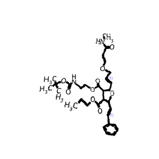 CCCOC(=O)C1C(/C=C/c2ccccc2)OC(/C=C/COCCC(=O)NC)C1C(=O)OCCNC(=O)OC(C)(C)C